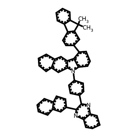 CC1(C)c2ccccc2-c2ccc(-c3cccc4c3c3cc5ccccc5cc3n4-c3ccc(-c4nc5ccccc5nc4-c4ccc5ccccc5c4)cc3)cc21